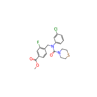 COC(=O)c1ccc(CN(C(=O)N2CCSCC2)c2cccc(Cl)c2)c(F)c1